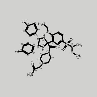 CCOc1ccc(S(=O)(=O)N(C)OC)cc1C1(C(=O)N2CCN(CC(N)=O)CC2)N[C@H](c2ccc(Cl)cc2)[C@H](c2ccc(Cl)cc2)N1